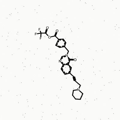 O=C(OC(=O)C(F)(F)F)c1ccc(Cn2cnc3ccc(C#CCN4CCCCC4)cc3c2=O)cc1